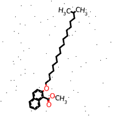 COC(=O)c1c(OCCCCCCCCCCCCCCCCC(C)C)ccc2ccccc12